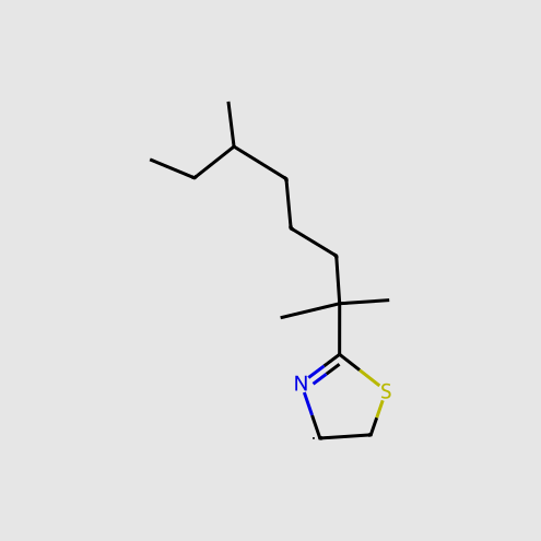 CCC(C)CCCC(C)(C)C1=N[CH]CS1